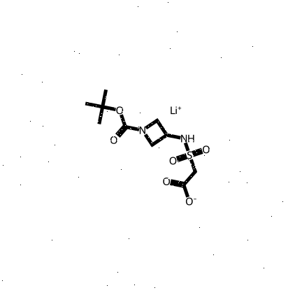 CC(C)(C)OC(=O)N1CC(NS(=O)(=O)CC(=O)[O-])C1.[Li+]